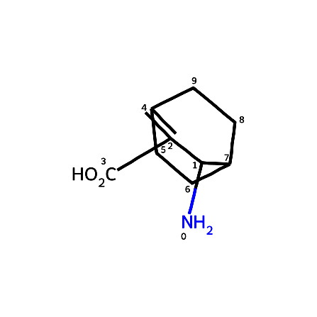 NC1C(C(=O)O)=C2CCC1CC2